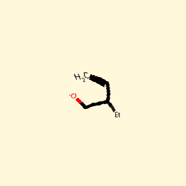 C=CC(CC)C[O]